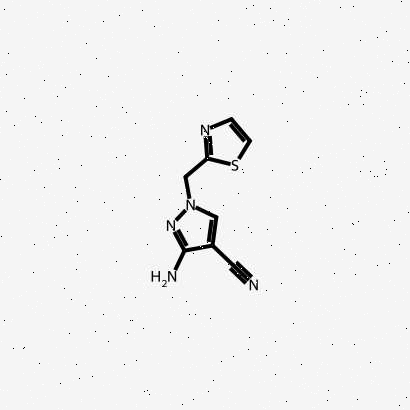 N#Cc1cn(Cc2nccs2)nc1N